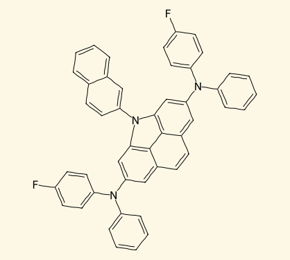 Fc1ccc(N(c2ccccc2)c2cc3ccc4cc(N(c5ccccc5)c5ccc(F)cc5)cc5c4c3c(c2)n5-c2ccc3ccccc3c2)cc1